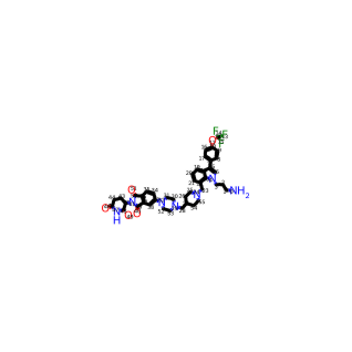 NCCCn1cc(-c2ccc(OC(F)(F)F)cc2)c2cccc(CN3CCC(CN4CCN(c5ccc6c(c5)C(=O)N(C5CCC(=O)NC5=O)C6=O)CC4)CC3)c21